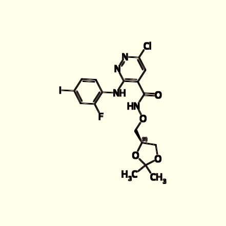 CC1(C)OC[C@H](CONC(=O)c2cc(Cl)nnc2Nc2ccc(I)cc2F)O1